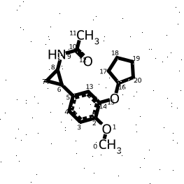 COc1ccc(C2CC2NC(C)=O)cc1OC1CCCC1